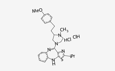 COc1ccc(CCC2CN(C3=Nc4ccccc4Nc4sc(C(C)C)nc43)CCN2C)cc1.Cl.Cl